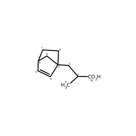 CC(CC12C=CC(CC1)C2)C(=O)O